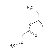 CCC(=O)OC(=O)COC